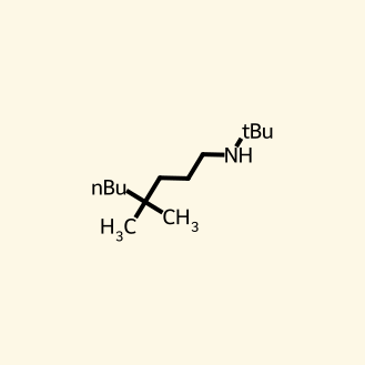 CCCCC(C)(C)CCCNC(C)(C)C